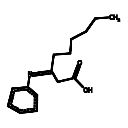 CCCCCCC(CC(=O)O)=Nc1ccccc1